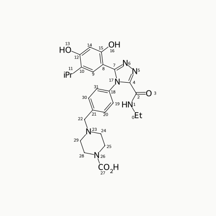 CCNC(=O)c1nnc(-c2cc(C(C)C)c(O)cc2O)n1-c1ccc(CN2CCN(C(=O)O)CC2)cc1